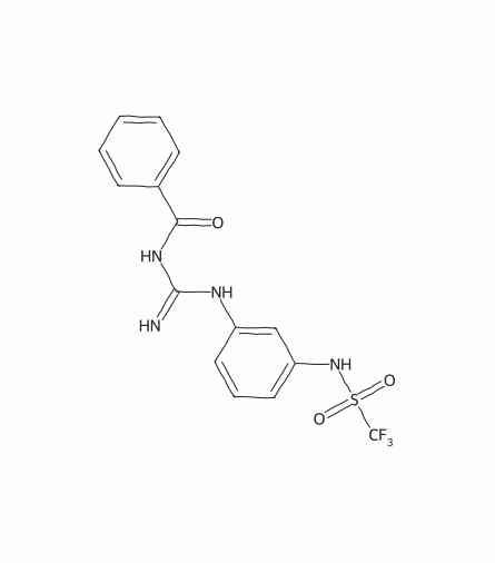 N=C(NC(=O)c1ccccc1)Nc1cccc(NS(=O)(=O)C(F)(F)F)c1